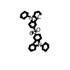 O=S(=O)(c1ccc2c(c1)c1ccccc1n2-c1ccccc1)c1ccc2c(c1)c1ccccc1n2-c1ccccc1